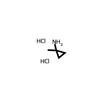 CC1(N)CC1.Cl.Cl